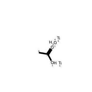 CC(=O)O.O.[Ti].[Ti]